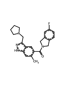 Cc1cc2[nH]nc(CN3CCCC3)c2cc1C(=O)N1Cc2ccc(F)cc2C1